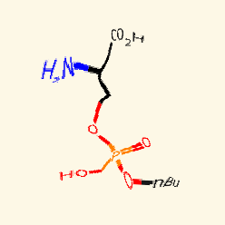 CCCCOP(=O)(O)OCC(N)C(=O)O